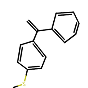 C=C(c1ccccc1)c1ccc(SC)cc1